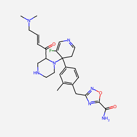 Cc1cc(C2(N3CCNCC3C(=O)C=CCN(C)C)CC=NC=C2F)ccc1Cc1noc(C(N)=O)n1